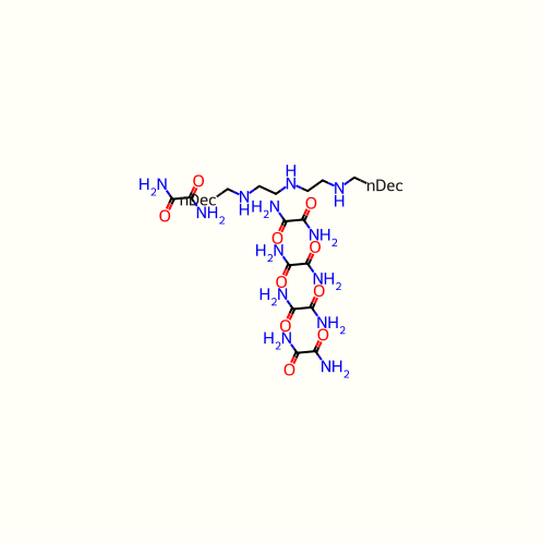 CCCCCCCCCCCNCCNCCNCCCCCCCCCCC.NC(=O)C(N)=O.NC(=O)C(N)=O.NC(=O)C(N)=O.NC(=O)C(N)=O.NC(=O)C(N)=O